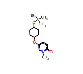 Cn1nc(OC2CCC(O[Si](C)(C)C(C)(C)C)CC2)ccc1=O